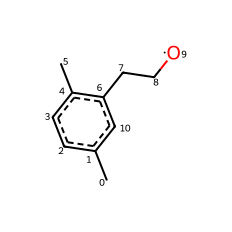 Cc1ccc(C)c(CC[O])c1